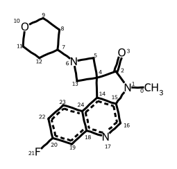 CN1C(=O)C2(CN(C3CCOCC3)C2)c2c1cnc1cc(F)ccc21